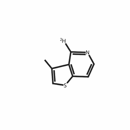 [2H]c1nccc2scc(C)c12